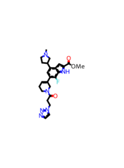 COC(=O)c1cc2c(C3CCN(C)C3)cc(C3=CCCN(C(=O)CCn4ccnn4)C3)c(F)c2[nH]1